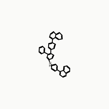 c1ccc(-c2cc(Nc3ccc(-c4cccc5ccccc45)cc3)ccc2-c2ccc(-c3cccc4ccccc34)cc2)cc1